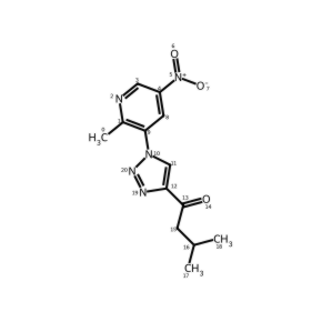 Cc1ncc([N+](=O)[O-])cc1-n1cc(C(=O)CC(C)C)nn1